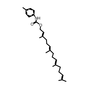 CC(C)=CCC/C(C)=C/CC/C(C)=C/CC/C(C)=C/COC(=O)Nc1ccc(C)cc1